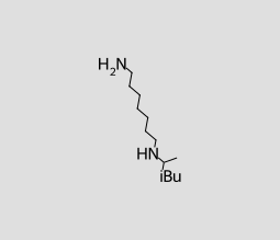 CCC(C)C(C)NCCCCCCCN